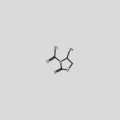 CCC(=O)N1C(=S)OCC1C(C)C